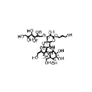 OCC1O[C@@H](OCC2O[C@H](OCCCS)C(O)[C@@H](OCC(O)[C@@H](O)[C@H](O)C(O)CO)[C@@H]2O[C@@H]2OC(CO)[C@@H](O)[C@H](O)C2O)[C@@H](O)C(O)[C@@H]1O